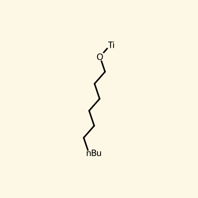 CCCCCCCCCC[O][Ti]